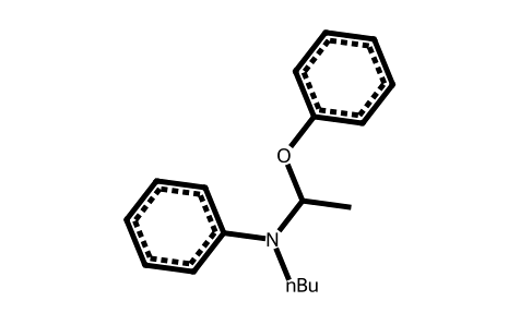 CCCCN(c1ccccc1)C(C)Oc1ccccc1